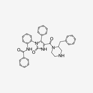 O=C(Nc1ccccc1-n1c(-c2ccccc2)c(C(=O)N2CCNCC2Cc2ccccc2)[nH]c1=O)c1ccccc1